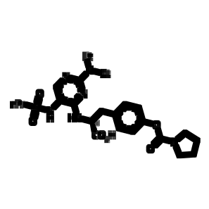 CCCS(=O)(=O)Nc1cnc(N(CC)CC)nc1N[C@@H](Cc1ccc(OC(=O)N2CCCC2)cc1)C(=O)O